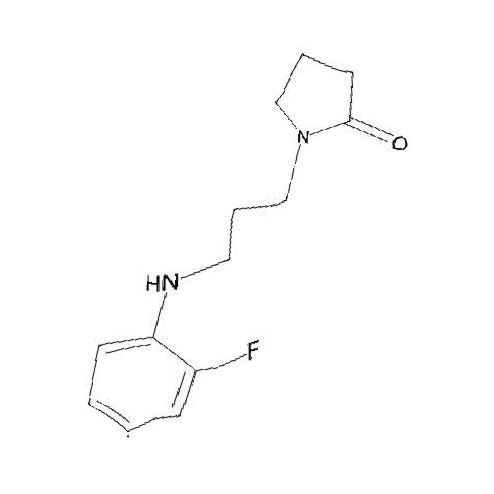 O=C1CCCN1CCCNc1cc[c]cc1F